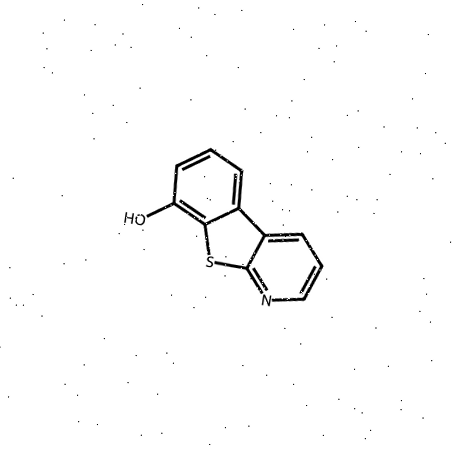 Oc1cccc2c1sc1ncccc12